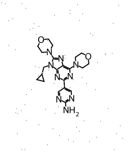 Nc1ncc(-c2nc(N3CCOCC3)c3nc(N4CCOCC4)n(CC4CC4)c3n2)cn1